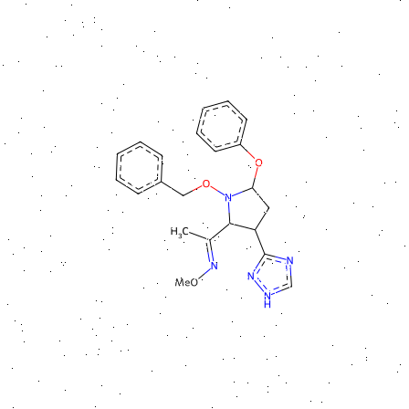 CON=C(C)C1C(c2nc[nH]n2)CC(Oc2ccccc2)N1OCc1ccccc1